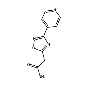 NC(=O)[CH]c1nc(-c2ccncc2)no1